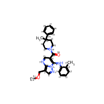 CCOCc1cnn2c(Nc3ccccc3C)c(C(=O)N3CCC(C)(c4ccccc4)CC3)cnc12